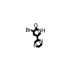 O=c1[nH]cc(-c2cnccn2)cc1Br